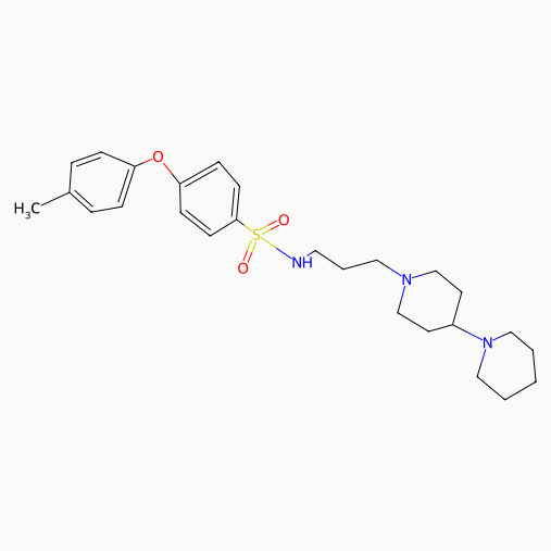 Cc1ccc(Oc2ccc(S(=O)(=O)NCCCN3CCC(N4CCCCC4)CC3)cc2)cc1